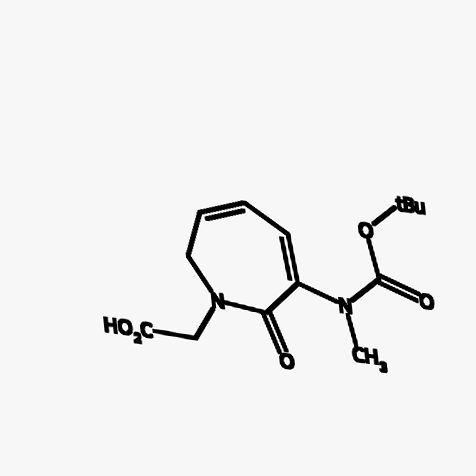 CN(C(=O)OC(C)(C)C)C1=CC=CCN(CC(=O)O)C1=O